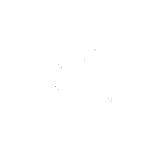 C=CCP(=O)(O)O.c1c[nH]cn1.c1ccc2ncccc2c1